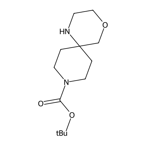 CC(C)(C)OC(=O)N1CCC2(CC1)COCCN2